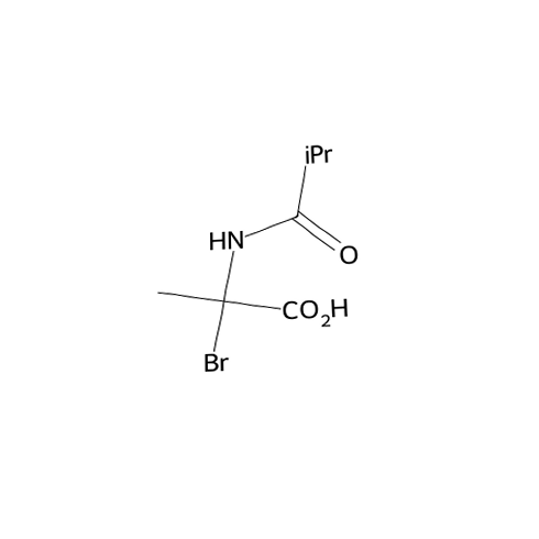 CC(C)C(=O)NC(C)(Br)C(=O)O